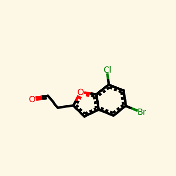 O=CCc1cc2cc(Br)cc(Cl)c2o1